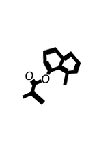 C=C(C)C(=O)Oc1cccc2cccc(C)c12